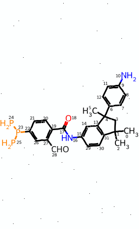 CC1(C)CC(C)(c2ccc(N)cc2)c2cc(NC(=O)c3ccc(P(P)P)cc3C=O)ccc21